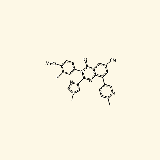 COc1ccc(-n2c(-c3cn(C)cn3)nc3c(-c4ccc(C)nc4)cc(C#N)cc3c2=O)cc1F